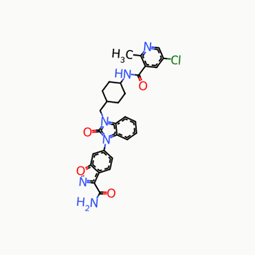 Cc1ncc(Cl)cc1C(=O)NC1CCC(Cn2c(=O)n(-c3ccc4c(C(N)=O)noc4c3)c3ccccc32)CC1